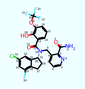 NC(=O)c1ncccc1CN(C(=O)c1cccc(OC(F)(F)F)c1O)[C@@H]1CCc2c(F)cc(Cl)cc21